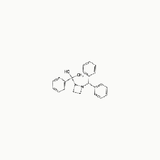 CC(O)(c1ccccc1)C1CCN1C(c1ccccc1)c1ccccc1